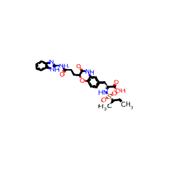 CCC(C)S(=O)(=O)N[C@@H](Cc1ccc2c(c1)NC(=O)C(CCC(=O)Nc1nc3ccccc3[nH]1)O2)C(=O)O